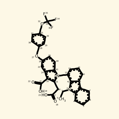 CCn1c2ccccc2c2cccc(-n3c(CC(=O)O)c(C(=O)O)c4cc(Oc5ccc(OC(F)(F)F)cc5)ccc43)c21